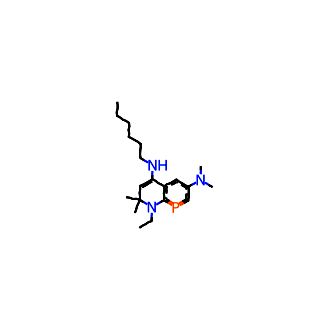 CCCCCCNC1=CC(C)(C)N(CC)c2pcc(N(C)C)cc21